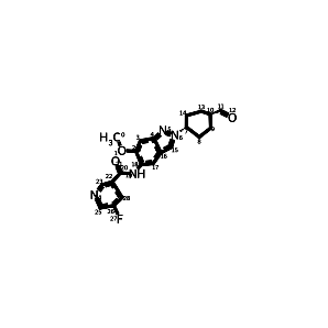 COc1cc2nn([C@H]3CC[C@H](C=O)CC3)cc2cc1NC(=O)c1cncc(F)c1